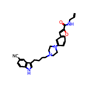 C=CCNC(=O)c1cc2cc(N3CCN(CCCCc4c[nH]c5ccc(C#N)cc45)CC3)ccc2o1